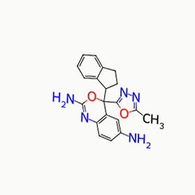 Cc1nnc(C2(C3CCc4ccccc43)OC(N)=Nc3ccc(N)cc32)o1